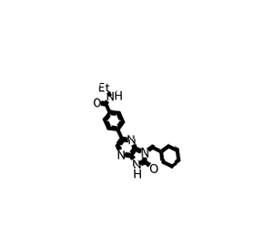 CCNC(=O)c1ccc(-c2cnc3[nH]c(=O)n(CC4CCCCC4)c3n2)cc1